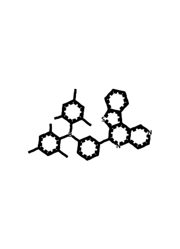 Cc1cc(C)c(B(c2cccc(-c3nc4ccncc4c4c3sc3ccccc34)c2)c2c(C)cc(C)cc2C)c(C)c1